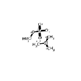 COOS(=O)(=O)[O-].C[S+](C)C